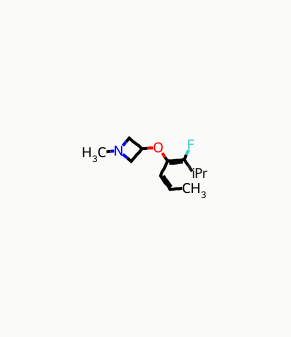 C/C=C\C(OC1CN(C)C1)=C(\F)C(C)C